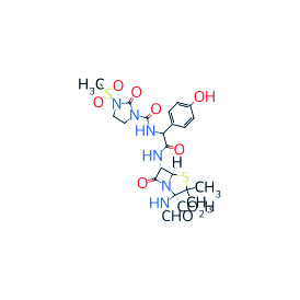 CC1(C)S[C@@H]2[C@@H](NC(=O)C(NC(=O)N3CCN(S(C)(=O)=O)C3=O)c3ccc(O)cc3)C(=O)N2[C@@]1(NC=O)C(=O)O